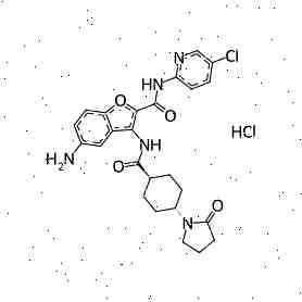 Cl.Nc1ccc2oc(C(=O)Nc3ccc(Cl)cn3)c(NC(=O)[C@H]3CC[C@H](N4CCCC4=O)CC3)c2c1